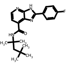 CC(C)(C)CC(C)(C)NC(=O)c1ccnc2[nH]c(-c3ccc(F)cc3)nc12